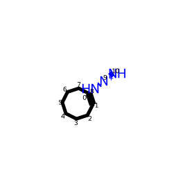 C1#CCCCCCC1.N=[N+]=N